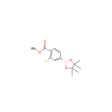 CC(C)(C)OC(=O)c1ccc(B2OC(C)(C)C(C)(C)O2)cc1F